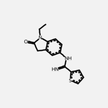 CCN1C(=O)Cc2cc(NC(=N)c3cccs3)ccc21